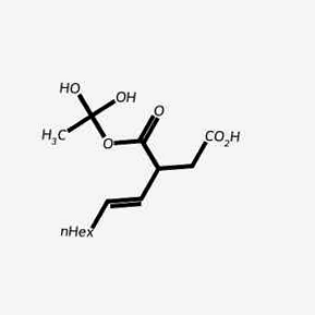 CCCCCCC=CC(CC(=O)O)C(=O)OC(C)(O)O